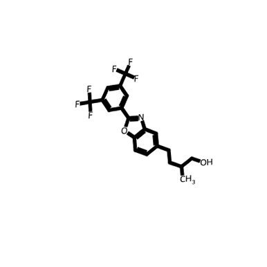 C[C](CO)CCc1ccc2oc(-c3cc(C(F)(F)F)cc(C(F)(F)F)c3)nc2c1